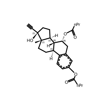 C#C[C@]1(O)CC[C@H]2[C@H]3[C@H](CC[C@@]21C)c1ccc(OC(=O)CCC)cc1C[C@H]3OC(=O)CCC